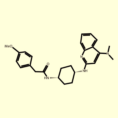 COc1ccc(CC(=O)N[C@H]2CC[C@@H](Nc3cc(N(C)C)c4ccccc4n3)CC2)cc1